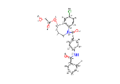 COCC(=O)OC1CCCN(C(=O)c2ccc(NC(=O)c3ccccc3C)cc2)c2ccc(Cl)cc21